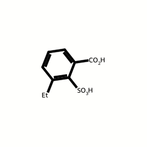 CCc1cccc(C(=O)O)c1S(=O)(=O)O